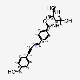 CC(C)(O)[C@H](NC(=O)c1ccc(/C=C/C#Cc2ccc(CO)cc2)cc1)C(=O)NO